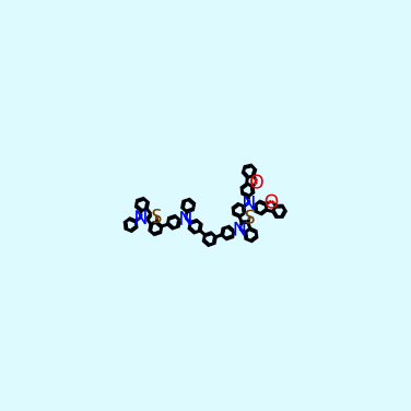 c1ccc(N(c2ccc(-c3cccc(-c4ccc(-n5c6ccccc6c6sc7c(N(c8ccc9c(c8)oc8ccccc89)c8ccc9c(c8)oc8ccccc89)cccc7c65)cc4)c3)cc2)c2ccc(-c3cccc4c3sc3c5ccccc5n(-c5ccccc5)c43)cc2)cc1